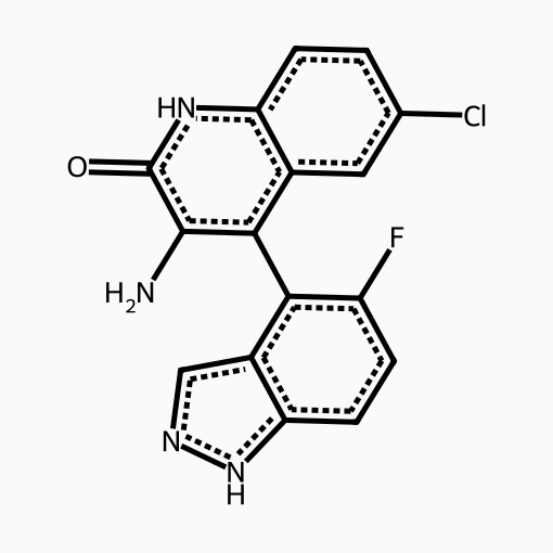 Nc1c(-c2c(F)ccc3[nH]ncc23)c2cc(Cl)ccc2[nH]c1=O